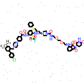 CC1(C)CCC(c2ccc(Cl)cc2)=C(CN2CCN(c3ccc(C(=O)N[S+]([O-])c4ccc(N[C@H](CCN5CCN(C(=O)NCCOCCOCCNc6cccc7c6C(=O)N(C6CCC(=O)NC6=O)C7=O)CC5)CSc5ccccc5)c(S(=O)(=O)C(F)(F)F)c4)cc3)CC2)C1